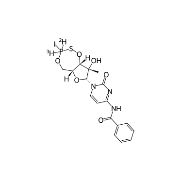 [2H]P1([3H])(I)OC[C@H]2O[C@@H](n3ccc(NC(=O)c4ccccc4)nc3=O)[C@@](C)(O)[C@H]2OS1